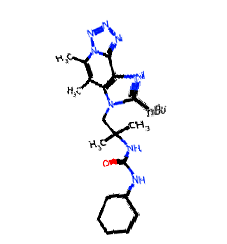 CCCCc1nc2c(c(C)c(C)n3nnnc23)n1CC(C)(C)NC(=O)NC1CCCCC1